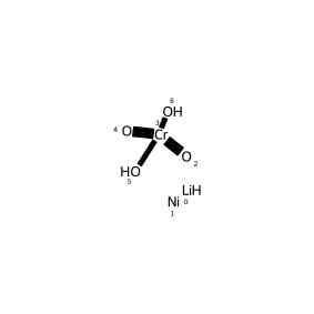 [LiH].[Ni].[O]=[Cr](=[O])([OH])[OH]